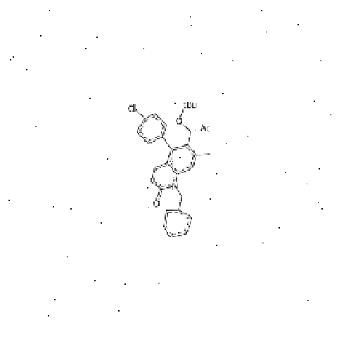 CC(=O)[C@@H](OC(C)(C)C)c1c(C)cc2c(ccc(=O)n2Cc2ccccc2)c1-c1ccc(Cl)cc1